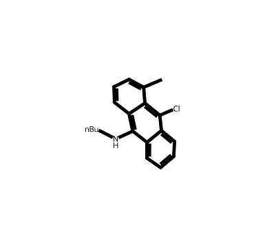 CCCCNc1c2ccccc2c(Cl)c2c(C)cccc12